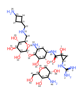 N=C(N)NC1CC1(O)C(=O)N[C@@H]1C[C@H](N)C(O[C@H]2O[C@H](CNCC3CC(N)C3)[C@@H](O)[C@H](O)[C@H]2O)[C@H](O)[C@H]1O[C@H]1O[C@H](CO)[C@@H](O)[C@H](N)[C@H]1O